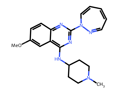 COc1ccc2nc(N3C=CC=CC=N3)nc(NC3CCN(C)CC3)c2c1